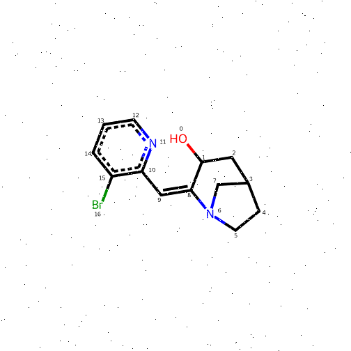 OC1CC2CCN(C2)C1=Cc1ncccc1Br